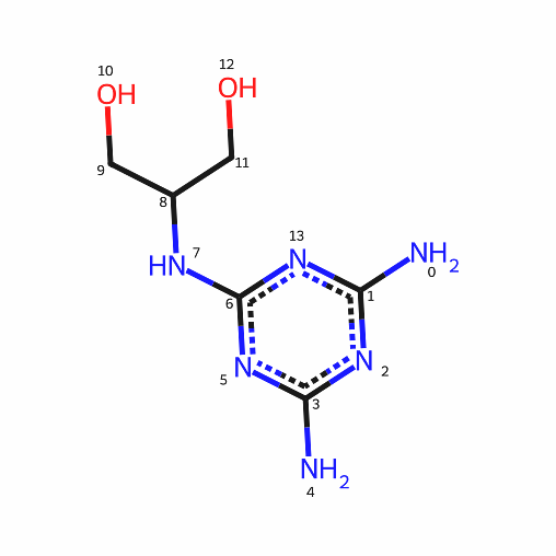 Nc1nc(N)nc(NC(CO)CO)n1